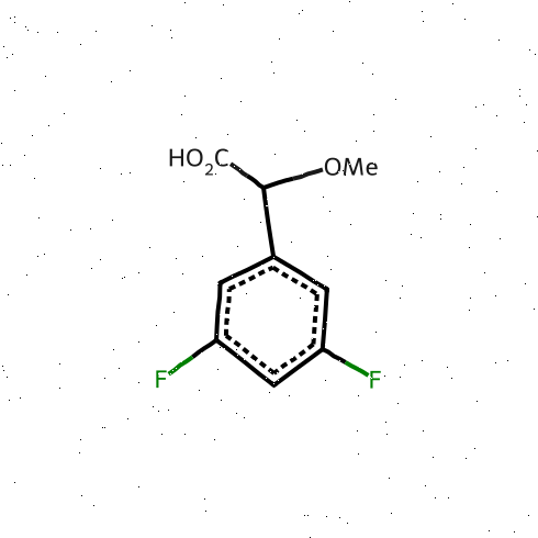 COC(C(=O)O)c1cc(F)cc(F)c1